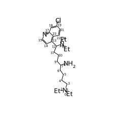 CCN(CC)CCCCC(N)CCCC(c1ccnc2cc(Cl)ccc12)N(CC)CC